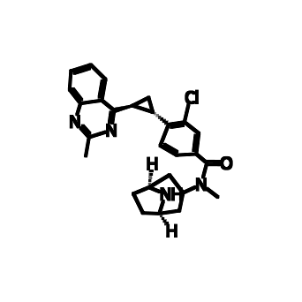 Cc1nc([C@H]2C[C@@H]2c2ccc(C(=O)N(C)C3C[C@H]4CC[C@@H](C3)N4)cc2Cl)c2ccccc2n1